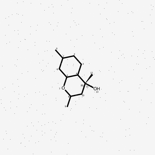 CC1CCC2C(C1)OC(C)C[C@@]2(C)O